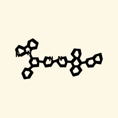 c1ccc(-c2cc(-c3ccc(-c4ccc(-c5c6ccccc6c(-c6ccc7ccccc7c6)c6ccccc56)cn4)nc3)cc(-n3c4ccccc4c4ccncc43)c2)cc1